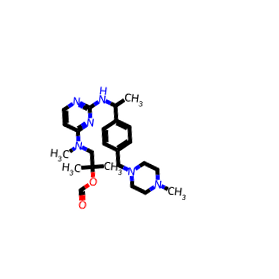 CC(Nc1nccc(N(C)CC(C)(C)OC=O)n1)c1ccc(CN2CCN(C)CC2)cc1